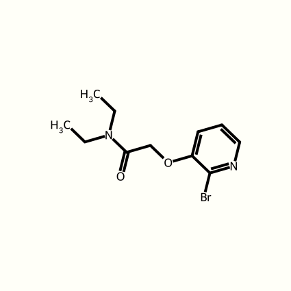 CCN(CC)C(=O)COc1cccnc1Br